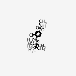 CCNS(=O)(=O)c1ccc(B(C)OC(C)(C)C(C)(C)C)c(Cl)c1